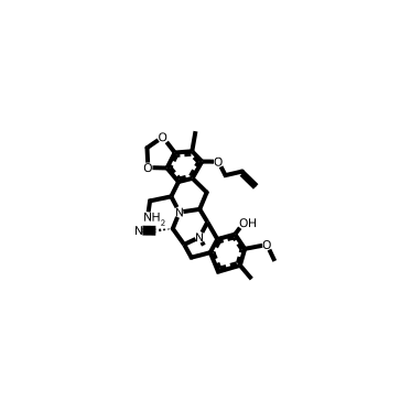 C=CCOc1c(C)c2c(c3c1CC1C4c5c(cc(C)c(OC)c5O)CC([C@H](C#N)N1C3CN)N4C)OCO2